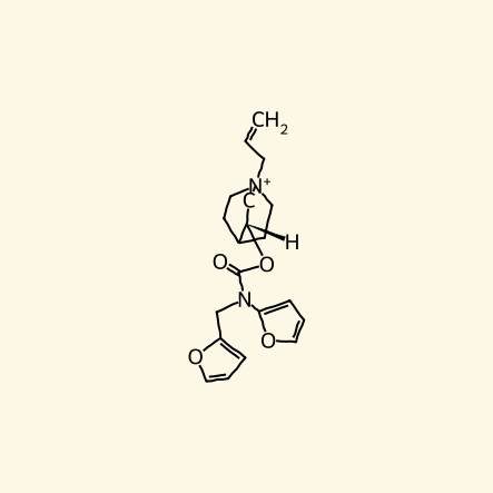 C=CC[N+]12CCC(CC1)[C@@H](OC(=O)N(Cc1ccco1)c1ccco1)C2